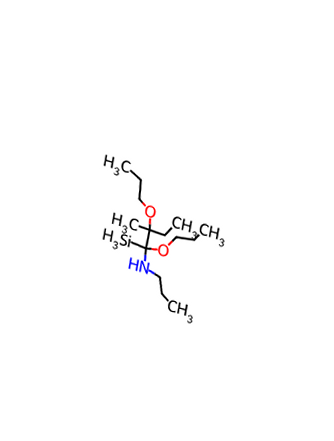 CCCNC([SiH3])(OCCC)C(C)(CC)OCCC